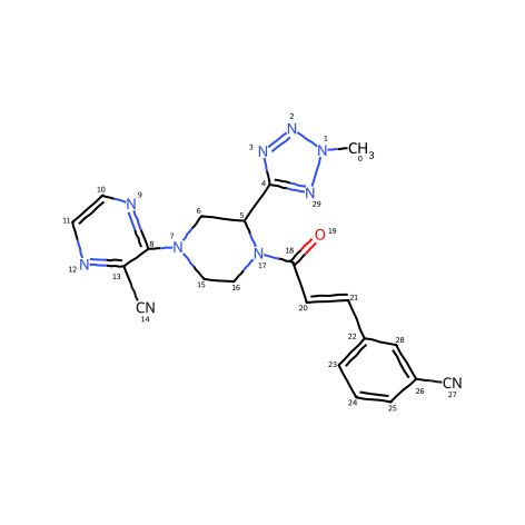 Cn1nnc(C2CN(c3nccnc3C#N)CCN2C(=O)C=Cc2cccc(C#N)c2)n1